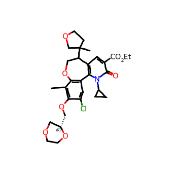 CCOC(=O)c1cc2c(n(C3CC3)c1=O)-c1cc(Cl)c(OC[C@H]3COCCO3)c(C)c1OCC2C1(C)CCOC1